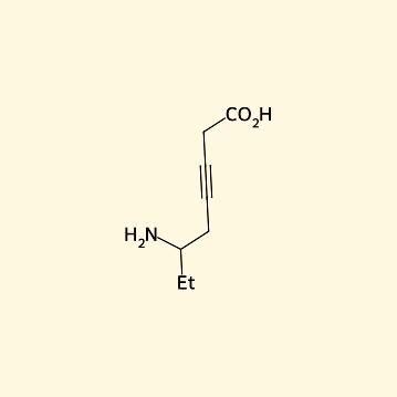 CCC(N)CC#CCC(=O)O